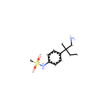 CCC(C)(CN)c1ccc(NS(C)(=O)=O)cc1